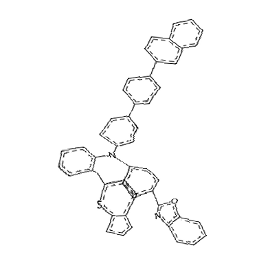 c1cc2ccc(-c3ccccc3N(c3ccc(-c4ccc(-c5ccc6ccccc6c5)cc4)cc3)c3ccc(-c4nc5ccccc5o4)cc3)sc-2c1